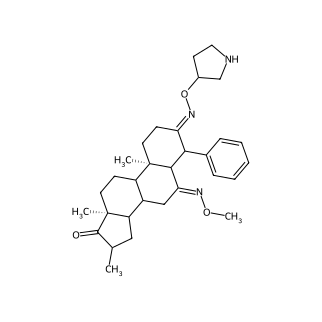 CON=C1CC2C(CC[C@]3(C)C(=O)C(C)CC23)[C@@]2(C)CCC(=NOC3CCNC3)C(c3ccccc3)C12